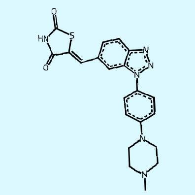 CN1CCN(c2ccc(-n3nnc4ccc(/C=C5\SC(=O)NC5=O)cc43)cc2)CC1